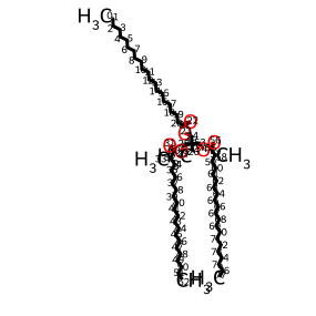 CCCCCCCCCCCCCCCCCCCCCC(=O)OCC(CC)(COC(=O)C(C)CCCCCCCCCCCCCCCCCCC)COC(=O)C(C)CCCCCCCCCCCCCCCCCCC